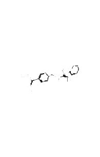 O=C(O)c1ccc(CSc2nc3ccccc3o2)cc1